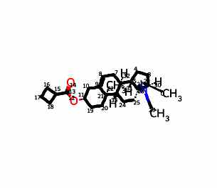 C[C@H]1[C@H]2CC[C@H]3[C@@H]4CC=C5C[C@@H](OC(=O)C6CCC6)CC[C@]5(C)[C@H]4CC[C@]23CN1C